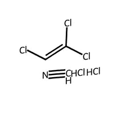 C#N.Cl.Cl.ClC=C(Cl)Cl